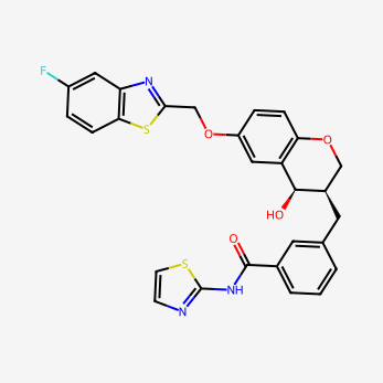 O=C(Nc1nccs1)c1cccc(C[C@@H]2COc3ccc(OCc4nc5cc(F)ccc5s4)cc3[C@@H]2O)c1